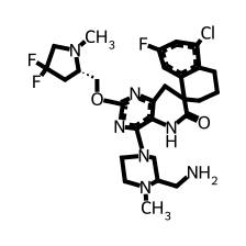 CN1CCN(c2nc(OC[C@@H]3CC(F)(F)CN3C)nc3c2NC(=O)C2(CCCc4c(Cl)cc(F)cc42)C3)CC1CN